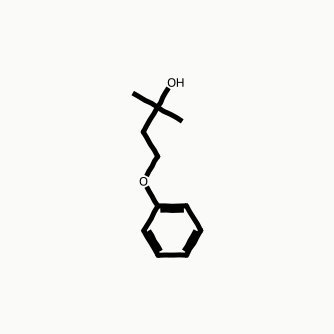 CC(C)(O)CCOc1ccccc1